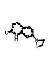 O=c1ccc2ccc(N3CCC3)cc2[nH]1